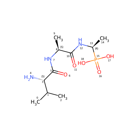 CC(C)[C@H](N)C(=O)N[C@@H](C)C(=O)N[C@@H](C)P(=O)(O)O